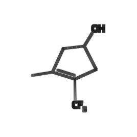 CC1=C(C(F)(F)F)CC(O)C1